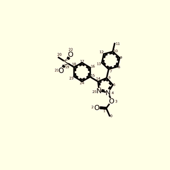 CC(=O)On1cc(-c2ccc(C)cc2)c(-c2ccc(S(C)(=O)=O)cc2)n1